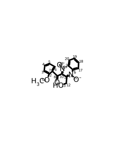 COc1ccccc1C(=O)c1c(CO)[n+]([O-])c2ccccc2[n+]1[O-]